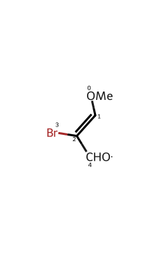 CO/C=C(\Br)[C]=O